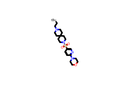 CC(C)(C)CCN1CCC2(CC1)CCN(S(=O)(=O)c1ccc(N3CCOCC3)nc1)CC2